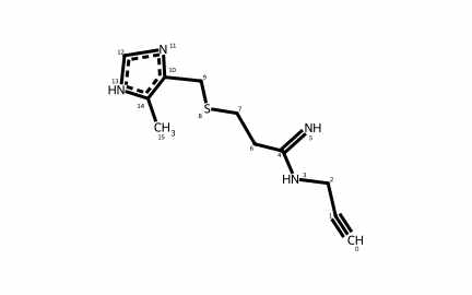 C#CCNC(=N)CCSCc1nc[nH]c1C